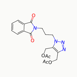 CC(=O)OCc1nnn(CCCN2C(=O)c3ccccc3C2=O)c1COC(C)=O